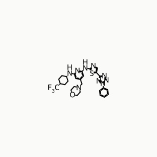 FC(F)(F)[C@H]1CC[C@H](Nc2cc(CN3CCOCC3)cc(Nc3ncc(-c4nnn(-c5ccccc5)n4)s3)n2)CC1